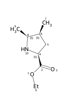 CCOC(=O)[C@@H]1C[C@H](C)[C@H](C)N1